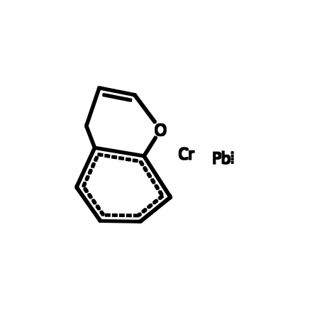 C1=COc2ccccc2C1.[Cr].[Pb]